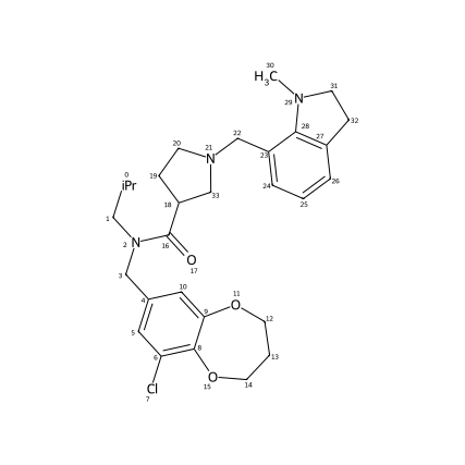 CC(C)CN(Cc1cc(Cl)c2c(c1)OCCCO2)C(=O)C1CCN(Cc2cccc3c2N(C)CC3)C1